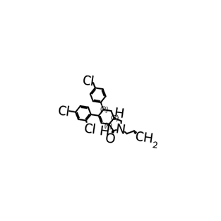 C=CCN1C[C@H]2C[C@H](c3ccc(Cl)cc3)C(c3ccc(Cl)cc3Cl)=C[C@H]2C1=O